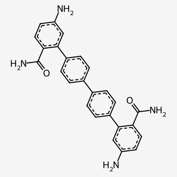 NC(=O)c1ccc(N)cc1-c1ccc(-c2ccc(-c3cc(N)ccc3C(N)=O)cc2)cc1